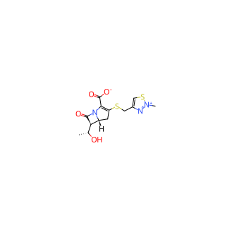 C[C@@H](O)[C@H]1C(=O)N2C(C(=O)[O-])=C(SCc3cs[n+](C)n3)C[C@H]12